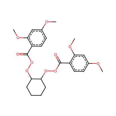 COc1ccc(C(=O)OO[C]2CC[CH]CC2OOC(=O)c2ccc(OC)cc2OC)c(OC)c1